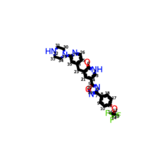 O=c1[nH]cc(-c2nc(-c3ccc(OC(F)(F)F)cc3)no2)cc1Cc1ccnc(N2CCNCC2)c1